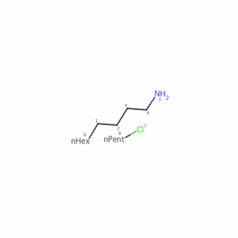 CCCCCCCCCCN.CCCCCCl